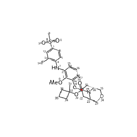 COc1c(Nc2ccc(S(C)(=O)=O)cc2F)ncnc1OC1CC2COCC(C1)N2C(=O)OC1(C)CCC1